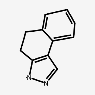 C1=N[N]C2=C1c1ccccc1CC2